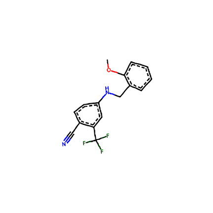 COc1ccccc1CNc1ccc(C#N)c(C(F)(F)F)c1